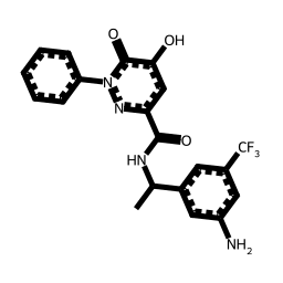 CC(NC(=O)c1cc(O)c(=O)n(-c2ccccc2)n1)c1cc(N)cc(C(F)(F)F)c1